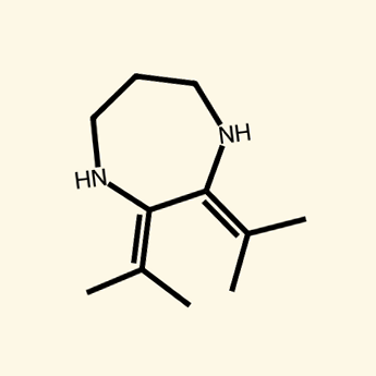 CC(C)=C1NCCCNC1=C(C)C